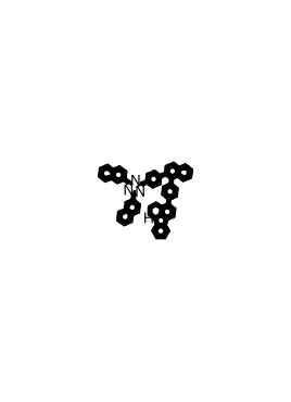 c1ccc2c(c1)-c1ccc(-c3ccc(-c4c(-c5ccc(-c6nc(-c7ccc8ccccc8c7)nc(-c7ccc8ccccc8c7)n6)cc5)ccc5ccccc45)cc3)c3c1[C@@H]2CCC3